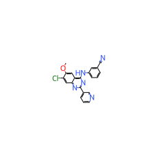 COc1cc2c(Nc3cccc(C#N)c3)nc(-c3cccnc3)nc2cc1Cl